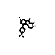 Cc1c2n(c3c(-c4ccc(N(C)C)nc4)cc(F)cc13)CCNC2=O